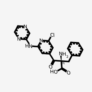 N[C@@](Cc1ccccc1)(C(=O)O)C(=O)c1cc(Cl)nc(Nc2cnccn2)c1